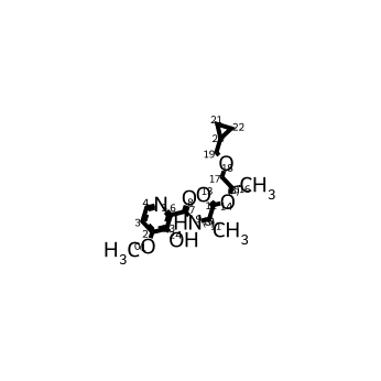 COc1ccnc(C(=O)N[C@@H](C)C(=O)O[C@@H](C)COCC2CC2)c1O